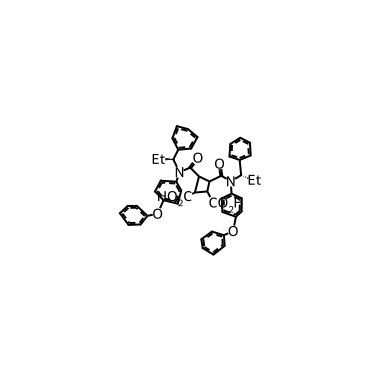 CC[C@@H](c1ccccc1)N(C(=O)C1C(C(=O)O)C(C(=O)O)C1C(=O)N(c1ccc(Oc2ccccc2)cc1)[C@@H](CC)c1ccccc1)c1ccc(Oc2ccccc2)cc1